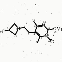 CCN1C(C)=C(CCN2CC(F)C2)C(C)=NC1OC